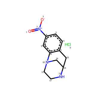 Cl.O=[N+]([O-])c1ccc2c(c1)N1CCNC(C2)C1